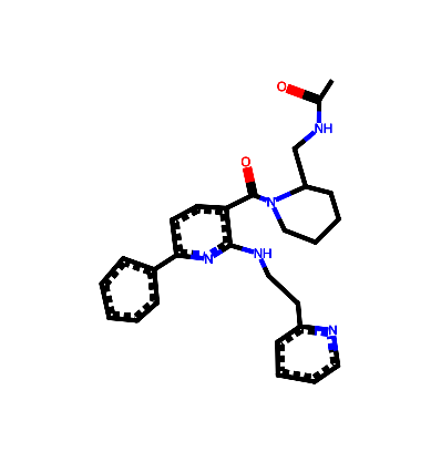 CC(=O)NCC1CCCCN1C(=O)c1ccc(-c2ccccc2)nc1NCCc1ccccn1